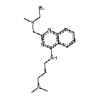 CCC(C)CN(C)Cc1nc(NCCCN(C)C)c2ccccc2n1